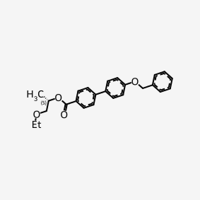 CCOC[C@H](C)OC(=O)c1ccc(-c2ccc(OCc3ccccc3)cc2)cc1